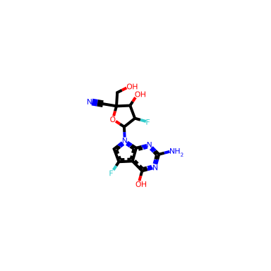 N#CC1(CO)OC(n2cc(F)c3c(O)nc(N)nc32)C(F)C1O